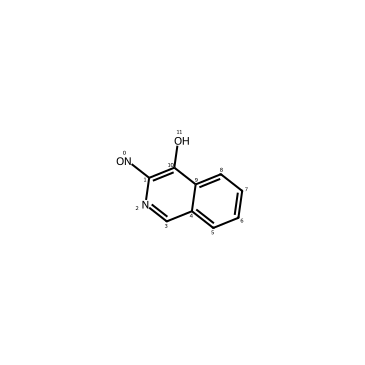 O=Nc1ncc2ccccc2c1O